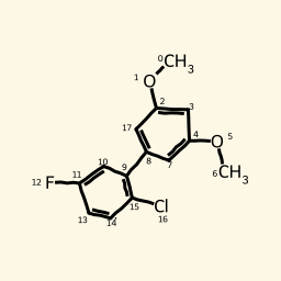 COc1cc(OC)cc(-c2cc(F)c[c]c2Cl)c1